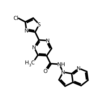 Cc1nc(-c2nc(Cl)cs2)ncc1C(=O)Nn1ccc2cccnc21